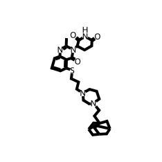 Cc1nc2cccc(SCCCN3CCCN(CCC45CC6CC(CC(C6)C4)C5)CC3)c2c(=O)n1C1CCC(=O)NC1=O